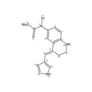 CCN(C(=O)OC)c1ccc2c(c1)/C(=C/c1c[nH]cn1)CCN2